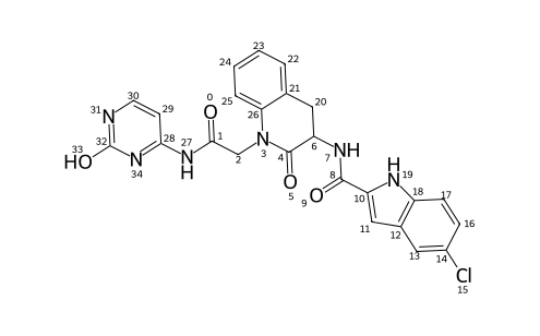 O=C(CN1C(=O)C(NC(=O)c2cc3cc(Cl)ccc3[nH]2)Cc2ccccc21)Nc1ccnc(O)n1